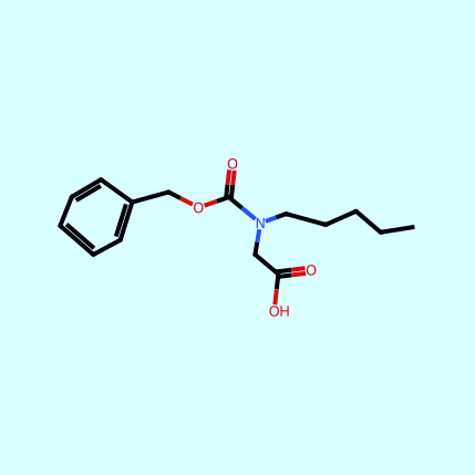 CCCCCN(CC(=O)O)C(=O)OCc1ccccc1